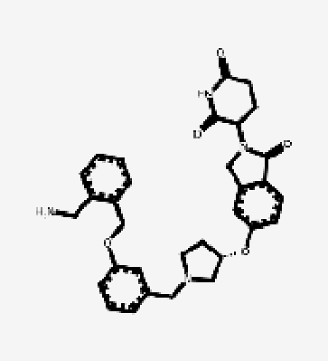 NCc1ccccc1COc1cccc(CN2CC[C@H](Oc3ccc4c(c3)CN(C3CCC(=O)NC3=O)C4=O)C2)c1